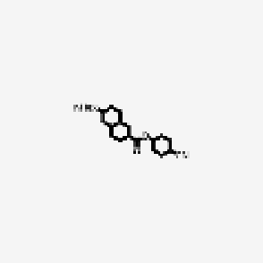 CCCCCCC1CCC2CC(C(=O)OC3CCC(C#N)CC3)CCC2C1